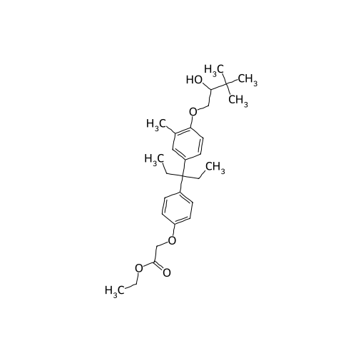 CCOC(=O)COc1ccc(C(CC)(CC)c2ccc(OCC(O)C(C)(C)C)c(C)c2)cc1